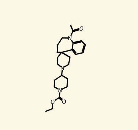 CCOC(=O)N1CCC(N2CCC3(CCCN(C(C)=O)c4ccccc43)CC2)CC1